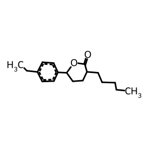 CCCCCC1CCC(c2ccc(CC)cc2)OC1=O